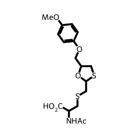 COc1ccc(OCC2CSC(CSCC(NC(C)=O)C(=O)O)O2)cc1